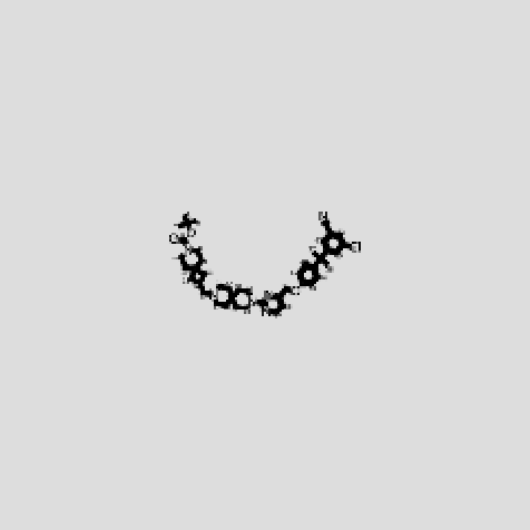 CC(C)(C)OC(=O)N1CCC2(CC1)CC(CN1CCC3(CC1)CCN(c1nccc(COc4ccc(C(C)(C)c5cc(Cl)cc(C#N)c5)cc4)n1)CC3)C2